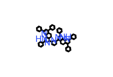 c1ccc(C2=NC(c3cccc(C4N=C(c5ccccc5)NC5=C4CCc4c(-c6ccccc6)cc(-c6ccccc6)nc45)n3)C3=C(N2)c2nc(-c4ccccc4)cc(-c4ccccc4)c2CC3)cc1